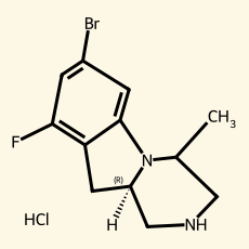 CC1CNC[C@H]2Cc3c(F)cc(Br)cc3N12.Cl